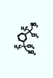 CC(C)(C[N+](=O)[O-])c1cccc(C(C)(C)C[N+](=O)[O-])c1